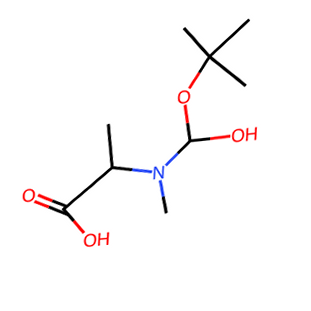 CC(C(=O)O)N(C)C(O)OC(C)(C)C